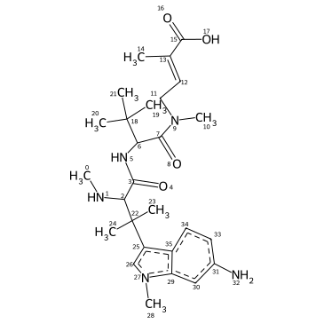 CNC(C(=O)NC(C(=O)N(C)C/C=C(\C)C(=O)O)C(C)(C)C)C(C)(C)c1cn(C)c2cc(N)ccc12